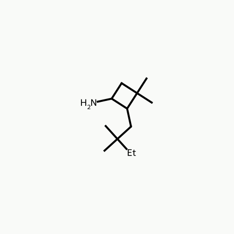 CCC(C)(C)CC1C(N)CC1(C)C